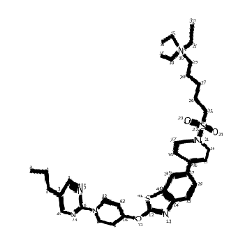 CCCc1cnc(N2CCC(Oc3nc4ccc(C5=CCN(S(=O)(=O)CCCCC[N+](CC)(CC)CC)CC5)cc4s3)CC2)nc1